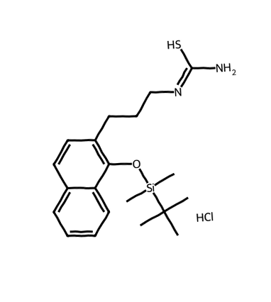 CC(C)(C)[Si](C)(C)Oc1c(CCCN=C(N)S)ccc2ccccc12.Cl